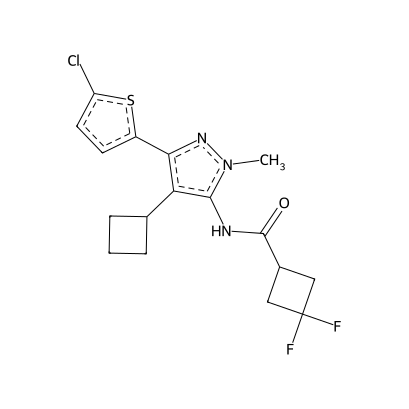 Cn1nc(-c2ccc(Cl)s2)c(C2CCC2)c1NC(=O)C1CC(F)(F)C1